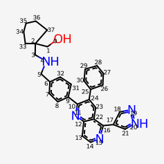 OCC1(CNCc2ccc(-c3nc4ccnc(-c5cn[nH]c5)c4cc3-c3ccccc3)cc2)CCCCC1